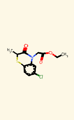 CCOC(=O)CN1C(=O)C(C)Sc2ccc(Cl)cc21